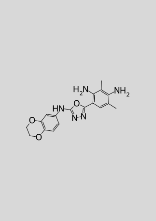 Cc1cc(-c2nnc(Nc3ccc4c(c3)OCCO4)o2)c(N)c(C)c1N